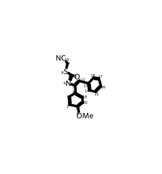 COc1ccc(-c2nc(SCC#N)oc2-c2ccccc2)cc1